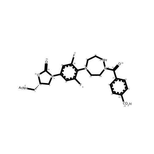 CC(=O)NC[C@H]1CN(c2cc(F)c(N3CCNN(C(=O)c4ccc(C(=O)O)cc4)CC3)c(F)c2)C(=O)O1